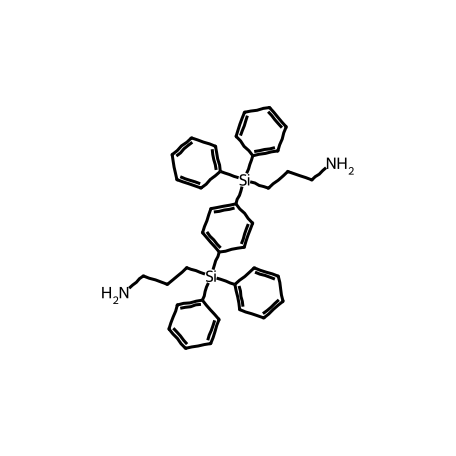 NCCC[Si](c1ccccc1)(c1ccccc1)c1ccc([Si](CCCN)(c2ccccc2)c2ccccc2)cc1